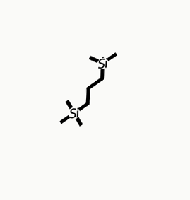 C[Si](C)CCC[Si](C)(C)C